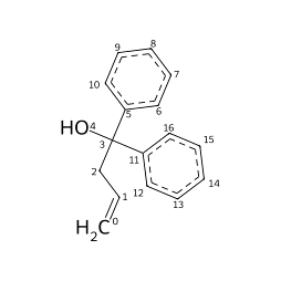 C=CCC(O)(c1ccccc1)c1ccccc1